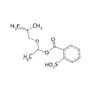 C=C(C)COC(C)OC(=O)c1ccccc1S(=O)(=O)O